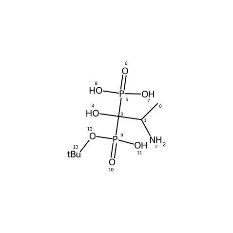 CC(N)C(O)(P(=O)(O)O)P(=O)(O)OC(C)(C)C